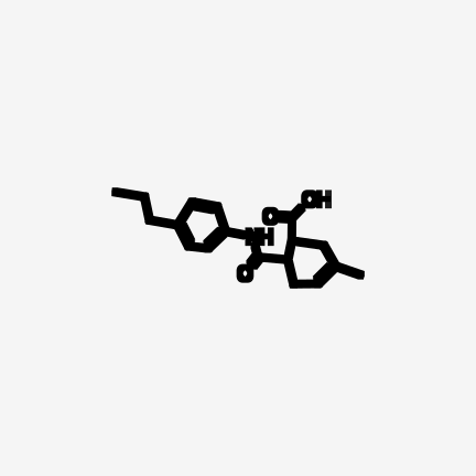 CCCc1ccc(NC(=O)C2CC=C(C)CC2C(=O)O)cc1